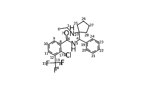 CCNC1(C(NC(=O)c2cccc(C(F)(F)F)c2Cl)c2ccccc2)CCCC1